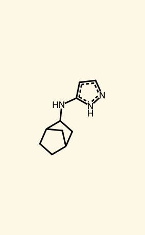 c1cc(NC2CC3CCC2C3)[nH]n1